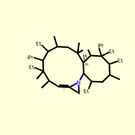 CCC1CC(C)C(CC)C(CC)(C(C)C)C(C)[C@H]2C1N1C/C1=C/C(C)C(C)(CC)C(C(C)C)C(CC)C(C)CC2(C)C